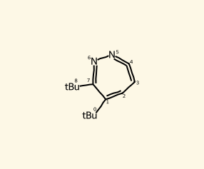 CC(C)(C)C1=CC=C=NN=C1C(C)(C)C